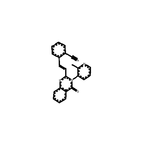 Cc1ncccc1-n1c(C=Cc2ccccc2C#N)nc2ccccc2c1=O